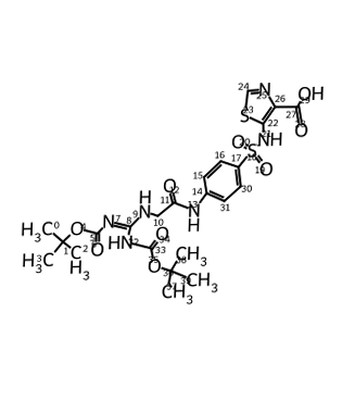 CC(C)(C)OC(=O)/N=C(/NCC(=O)Nc1ccc(S(=O)(=O)Nc2scnc2C(=O)O)cc1)NC(=O)OC(C)(C)C